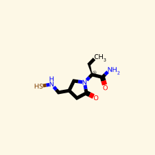 CC[C@@H](C(N)=O)N1CC(CNS)CC1=O